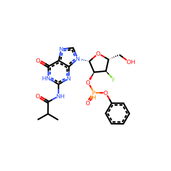 CC(C)C(=O)Nc1nc2c(ncn2[C@@H]2O[C@H](CO)[C@@H](F)[C@H]2O[PH](=O)Oc2ccccc2)c(=O)[nH]1